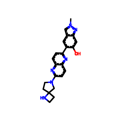 Cn1cc2cc(-c3ccc4nc(N5CCC6(CCN6)C5)ccc4n3)c(O)cc2n1